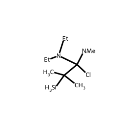 CCN(CC)C(Cl)(NC)C(C)(C)[SiH3]